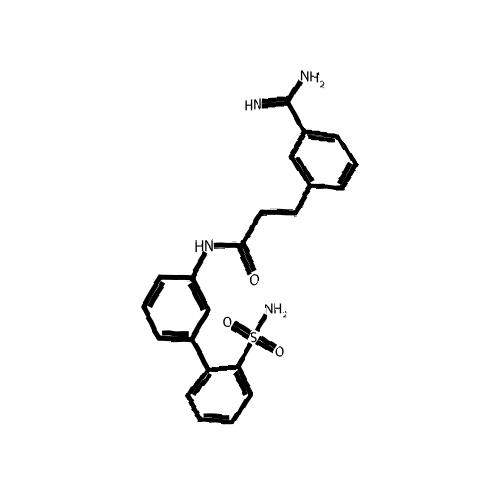 N=C(N)c1cccc(CCC(=O)Nc2cccc(-c3ccccc3S(N)(=O)=O)c2)c1